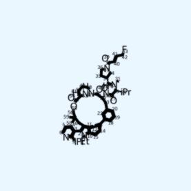 CCn1c(-c2cccnc2C(C)C)c2c3cc(ccc31)-c1cccc(c1)C[C@H](NC(=O)[C@H](C(C)C)N(C)C(=O)[C@H]1CCN(C(=O)/C=C/CF)C1)C(=O)N1CCC[C@H](N1)C(=O)OCC(C)(C)C2